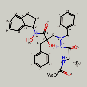 COC(=O)N[C@H](C(=O)NN(Cc1ccccc1)C[C@](O)(Cc1ccccc1)C(=O)N(O)C1CCc2ccccc21)C(C)(C)C